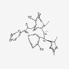 Cc1nn(C)cc1[C@@H](c1ccccc1C#N)[C@@H](C)c1nc(C(=O)Nc2cnoc2)c(O)c(=O)n1C